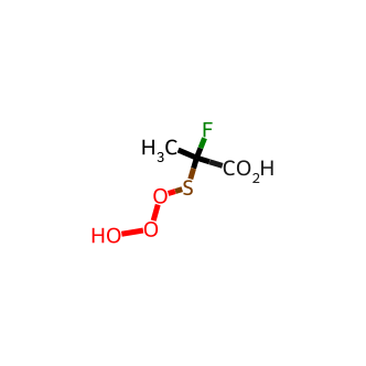 CC(F)(SOOO)C(=O)O